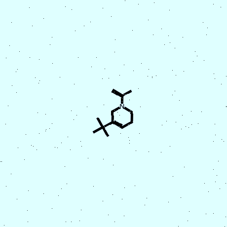 C=C(C)N1CCC=C(C(C)(C)C)C1